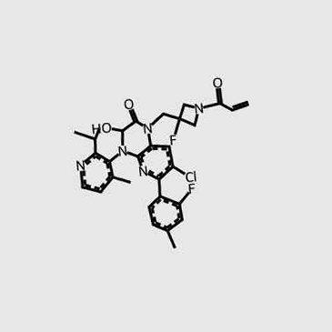 C=CC(=O)N1CC(F)(CN2C(=O)C(O)N(c3c(C)ccnc3C(C)C)c3nc(-c4ccc(C)cc4F)c(Cl)cc32)C1